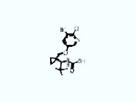 CC(C)(C)C(NC(=O)O)C1(COc2cnc(Cl)c(Br)c2)CC1